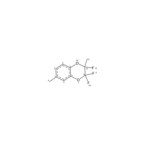 Cc1ccc2c(c1)OC(F)(F)C(C)(F)O2